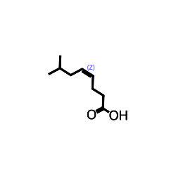 CC(C)C/C=C\CCC(=O)O